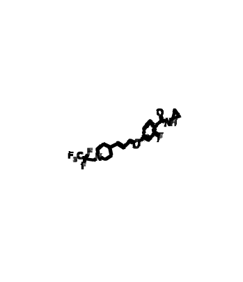 O=C(NC1CC1)c1ccc(OCCCC2CCN(CC(F)(F)C(F)(F)F)CC2)cc1F